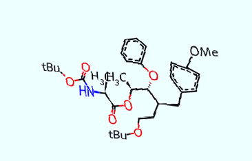 COc1ccc(C[C@@H](CCOC(C)(C)C)[C@@H](Oc2ccccc2)[C@H](C)OC(=O)[C@H](C)NC(=O)OC(C)(C)C)cc1